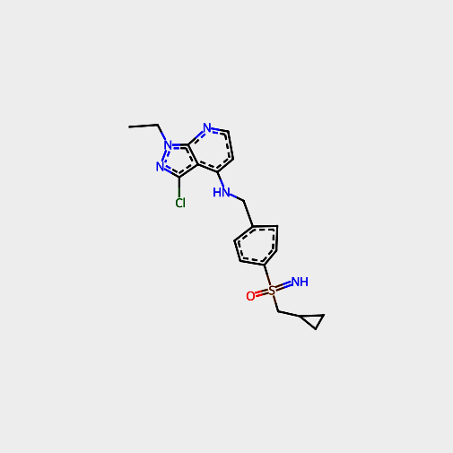 CCn1nc(Cl)c2c(NCc3ccc(S(=N)(=O)CC4CC4)cc3)ccnc21